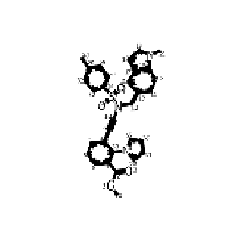 COC(=O)c1cccc(C#CN(Cc2ccc3c(ccn3C)c2)S(=O)(=O)c2ccc(C)cc2)c1-n1cccc1